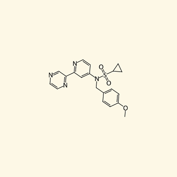 COc1ccc(CN(c2ccnc(-c3cnccn3)c2)S(=O)(=O)C2CC2)cc1